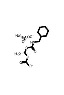 CC(C)C(=O)O[C@H](C)OC(=O)NCC1CCCCC1.O=C([O-])[O-].[Na+].[Na+]